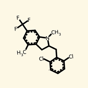 Cc1cc(C(F)(F)F)cc2c1CC(Cc1c(Cl)[c]ccc1Cl)N2C